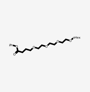 CCCCCCOCCOCCOCCOCCCC(=O)OC(C)C